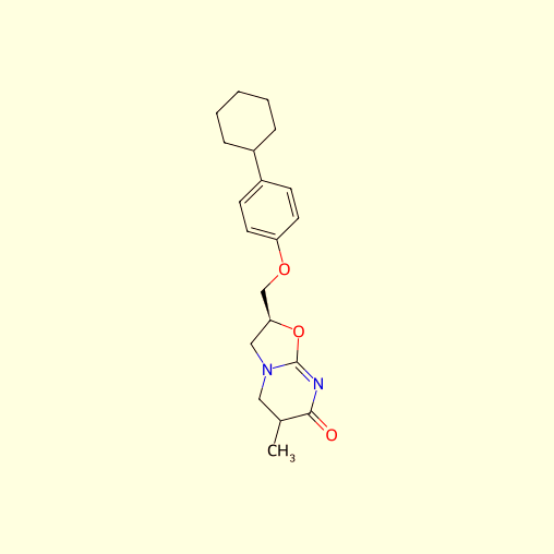 CC1CN2C[C@@H](COc3ccc(C4CCCCC4)cc3)OC2=NC1=O